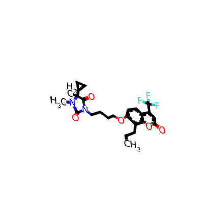 CCCc1c(OCCCCN2C(=O)N(C)C(C)(C3CC3)C2=O)ccc2c(C(F)(F)F)cc(=O)oc12